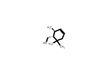 C[C@H]1C=CCC(C)(C)[C@@H]1CO